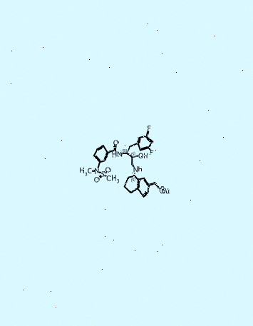 CN(c1cccc(C(=O)N[C@@H](Cc2cc(F)cc(F)c2)[C@@H](O)CN[C@H]2CCCc3ccc(CC(C)(C)C)cc32)c1)S(C)(=O)=O